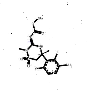 CN1/C(=N/C(=O)OC(C)(C)C)N[C@](C)(c2c(F)ccc(N)c2F)CS1(=O)=O